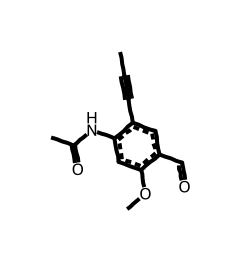 CC#Cc1cc(C=O)c(OC)cc1NC(C)=O